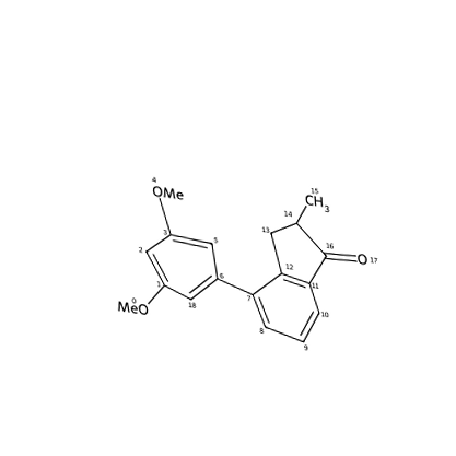 COc1cc(OC)cc(-c2cccc3c2CC(C)C3=O)c1